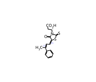 C/C(=C/C=C1/SC(=S)N(CCC(=O)O)C1=O)c1ccccc1